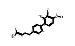 CCOc1ccc(-c2ccc(CC/C=C(\F)CC)cc2)c(F)c1F